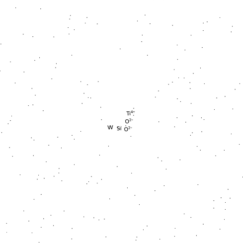 [O-2].[O-2].[Si].[Ti+4].[W]